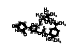 C=C(C)[C@H]1CC[C@@](C)(S)[C@H](O[P@@H](=S)O[C@H]2C[C@H](n3ccc(=O)[nH]c3=O)O[C@@H]2CO[Si](C)(C)C(C)(C)C)C1